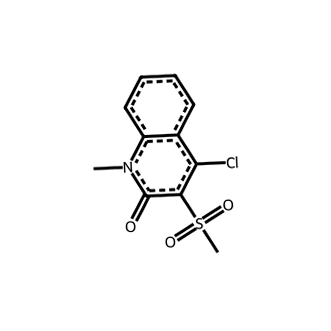 Cn1c(=O)c(S(C)(=O)=O)c(Cl)c2ccccc21